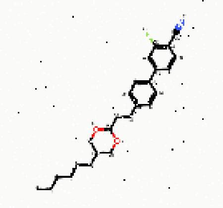 CCCCCCC1COC(CCc2ccc(-c3ccc(C#N)c(F)c3)cc2)OC1